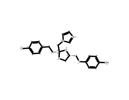 Oc1ccc(SC[C@@H]2CO[C@@](CCc3ccc(Cl)cc3)(Cn3ccnc3)O2)cc1